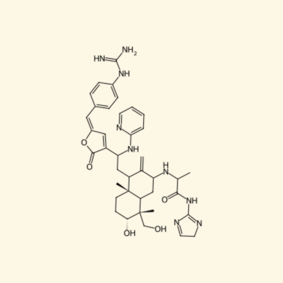 C=C1C(NC(C)C(=O)NC2=NCC=N2)CC2[C@](C)(CC[C@@H](O)[C@@]2(C)CO)C1CC(Nc1ccccn1)C1=C/C(=C\c2ccc(NC(=N)N)cc2)OC1=O